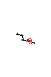 CCCCOC(=O)/C=C(\C)CCC[C@H](C)CCC[C@H](C)CCCC(C)C